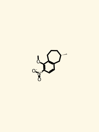 COc1c([N+](=O)[O-])ccc2c1CCC[C@H](C)C2